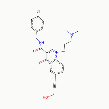 CN(C)CCCn1cc(C(=O)NCc2ccc(Cl)cc2)c(=O)c2cc(C#CCO)ccc21